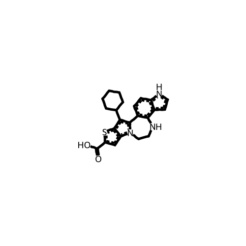 O=C(O)c1cc2c(s1)c(C1CCCCC1)c1n2CCNc2c-1ccc1[nH]ccc21